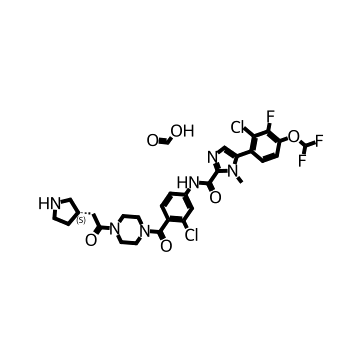 Cn1c(-c2ccc(OC(F)F)c(F)c2Cl)cnc1C(=O)Nc1ccc(C(=O)N2CCN(C(=O)C[C@@H]3CCNC3)CC2)c(Cl)c1.O=CO